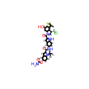 Cc1csc2c(O)cc3c(c12)[C@H](CCl)CN3C(=O)c1cc2cc(NC(=O)c3cc4cc(OC(N)=O)ccc4n3C(C)(C)C)ccc2[nH]1